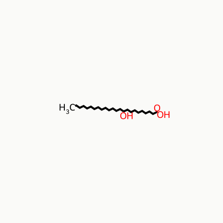 CCCCCCCCCCCCCCC(O)CCCCCCCCC(=O)O